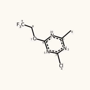 Cc1nc(Cl)nc(OCC(F)(F)F)n1